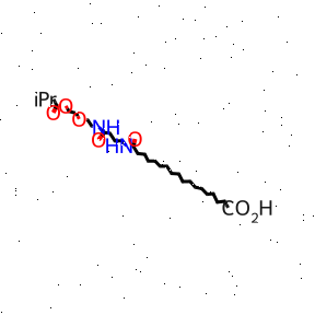 CC(C)C(=O)OCCOCCNC(=O)CCCNC(=O)CCCCCCCCCCCCCCCCC(=O)O